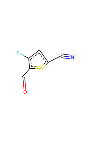 N#Cc1cc(F)c(C=O)s1